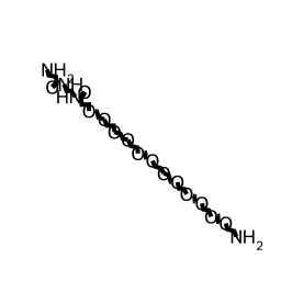 NCCOCCOCCOCCOCCOCCOCCOCCOCCOCCOCCOCCOCCC(=O)NCCNC(=O)CCN